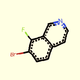 Fc1c(Br)ccc2ccncc12